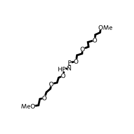 COCCOCCOCCOP=NPOCCOCCOCCOC